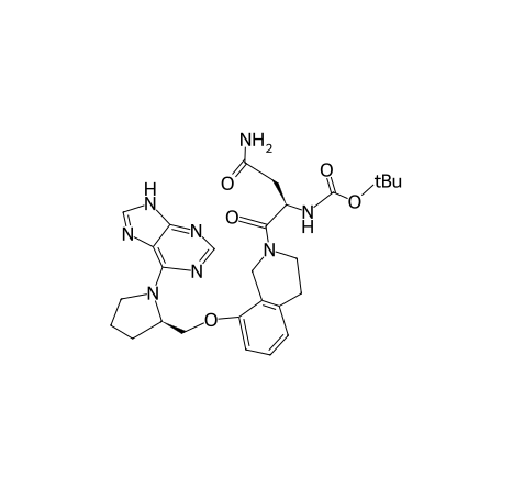 CC(C)(C)OC(=O)N[C@H](CC(N)=O)C(=O)N1CCc2cccc(OC[C@H]3CCCN3c3ncnc4[nH]cnc34)c2C1